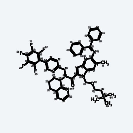 Cc1cc2c(cc(C(=O)N(Cc3ccc(-c4c(F)c(F)c(F)c(F)c4F)cn3)[C@@H]3CCCc4cccnc43)n2COCC[Si](C)(C)C)nc1N=C(c1ccccc1)c1ccccc1